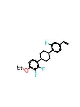 C=Cc1ccc(C2CCC(c3ccc(OCC)c(F)c3F)CC2)c(F)c1